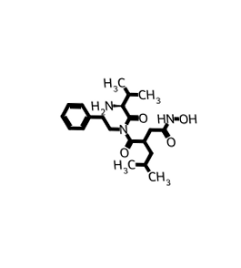 CC(C)CC(CC(=O)NO)C(=O)N(CCc1ccccc1)C(=O)[C@@H](N)C(C)C